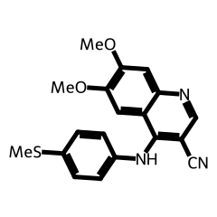 COc1cc2ncc(C#N)c(Nc3ccc(SC)cc3)c2cc1OC